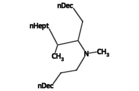 CCCCCCCCCCCCN(C)C(CCCCCCCCCCC)C(C)CCCCCCC